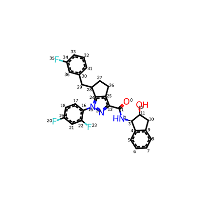 O=C(N[C@@H]1c2ccccc2C[C@@H]1O)c1nn(-c2ccc(F)cc2F)c2c1CCC2Cc1cccc(F)c1